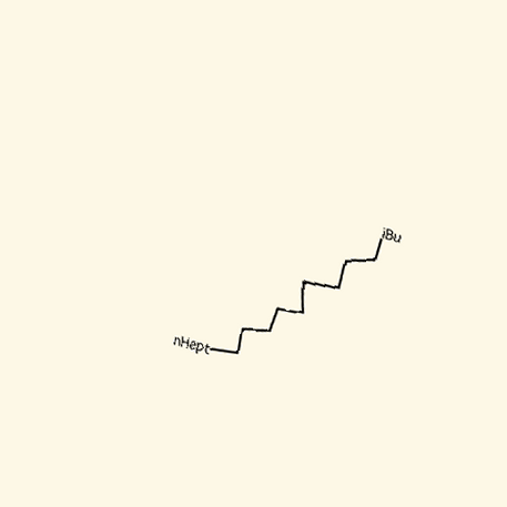 [CH2]CC(C)CCCCCCCCCCCCCCCC